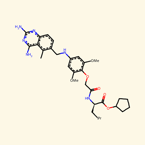 COc1cc(NCc2ccc3nc(N)nc(N)c3c2C)cc(OC)c1OCC(=O)N[C@H](CC(C)C)C(=O)OC1CCCC1